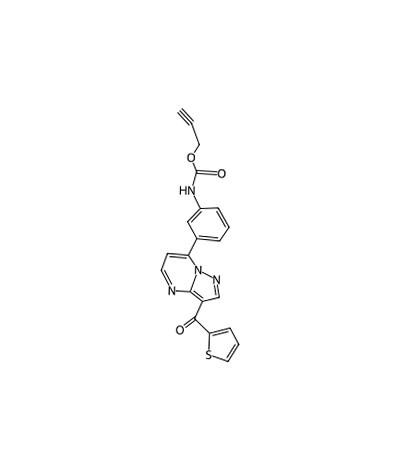 C#CCOC(=O)Nc1cccc(-c2ccnc3c(C(=O)c4cccs4)cnn23)c1